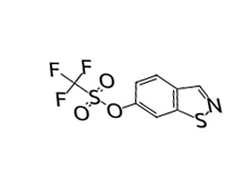 O=S(=O)(Oc1ccc2cnsc2c1)C(F)(F)F